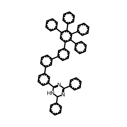 c1ccc(C2=NC(c3ccccc3)NC(c3cccc(-c4cccc(-c5cccc(-c6cc(-c7ccccc7)c(-c7ccccc7)c(-c7ccccc7)c6-c6ccccc6)c5)c4)c3)=N2)cc1